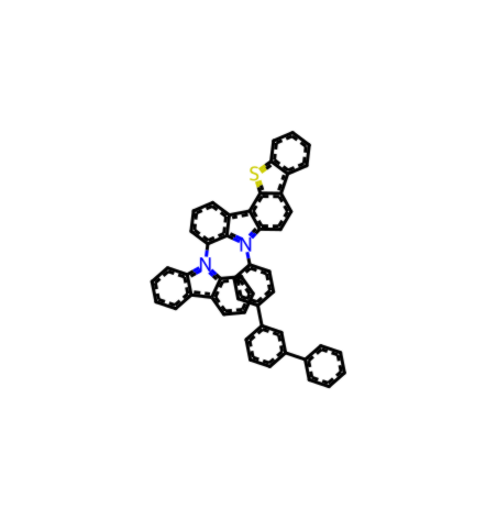 c1ccc(-c2cccc(-c3ccc(-n4c5ccc6c7ccccc7sc6c5c5cccc(-n6c7ccccc7c7ccccc76)c54)cc3)c2)cc1